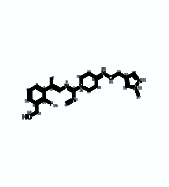 C=N/C(=N\C=C(/C)c1cccc(CO)c1F)N1CCC(=NOCc2cnn(C)c2)CC1